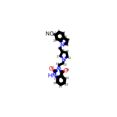 N#Cc1ccc2ccn(CC3CCN(CCn4c(=O)[nH]c5ccccc5c4=O)C3)c2c1